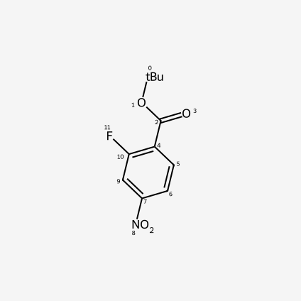 CC(C)(C)OC(=O)c1ccc([N+](=O)[O-])cc1F